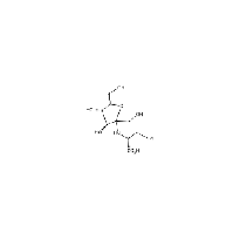 CC(C)C[C@H](NC1(CO)O[C@H](CO)[C@@H](O)[C@@H]1O)C(=O)O